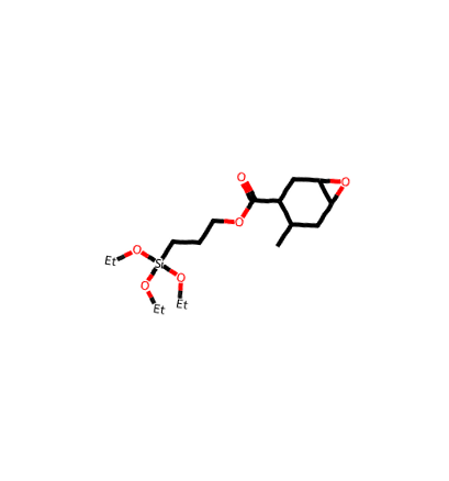 CCO[Si](CCCOC(=O)C1CC2OC2CC1C)(OCC)OCC